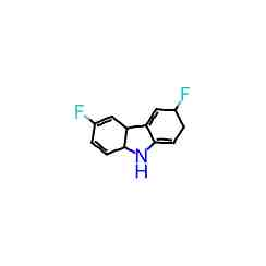 FC1=CC2C3=CC(F)CC=C3NC2C=C1